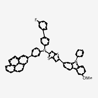 COc1ccc2c(c1)c1ccc(-c3cc4sc(N(c5ccc(-c6cccc(F)c6)cc5)c5ccc(-c6cc7ccc8cccc9ccc(c6)c7c89)cc5)cc4s3)cc1n2-c1ccccc1